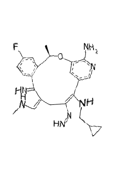 CN/C=C1/C/C(N=N)=C(/NCC2CC2)c2cnc(N)c(c2)O[C@H](C)c2cc(F)ccc2C1=N